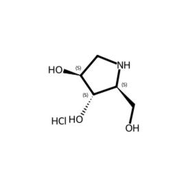 Cl.OC[C@@H]1NC[C@H](O)[C@H]1O